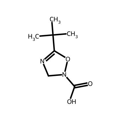 CC(C)(C)C1=NCN(C(=O)O)O1